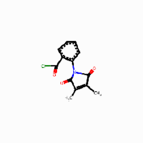 CC1=C(C)C(=O)N(c2ccccc2C(=O)Cl)C1=O